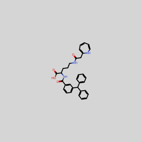 O=C(CC1=CC=CC=CN1)NCCCC(NC(=O)c1cccc(C(c2ccccc2)c2ccccc2)c1)C(=O)O